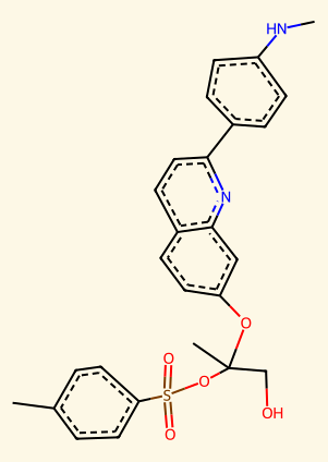 CNc1ccc(-c2ccc3ccc(OC(C)(CO)OS(=O)(=O)c4ccc(C)cc4)cc3n2)cc1